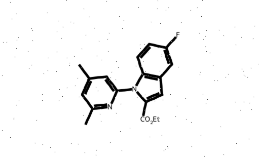 CCOC(=O)c1cc2cc(F)ccc2n1-c1cc(C)cc(C)n1